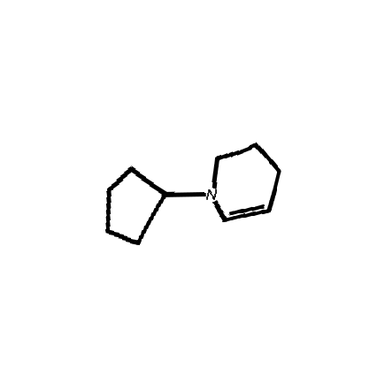 C1=CN(C2CCCC2)CCC1